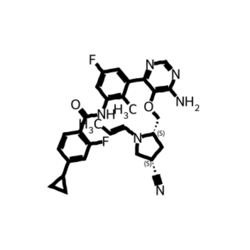 CC=CN1C[C@@H](C#N)C[C@H]1COc1c(N)ncnc1-c1cc(F)cc(NC(=O)c2ccc(C3CC3)cc2F)c1C